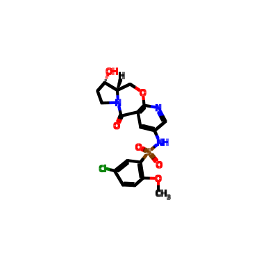 COc1ccc(Cl)cc1S(=O)(=O)Nc1cnc2c(c1)C(=O)N1CC[C@H](O)[C@@H]1CO2